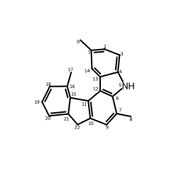 Cc1ccc2[nH]c3c(C)cc4c(c3c2c1)-c1c(C)cccc1C4